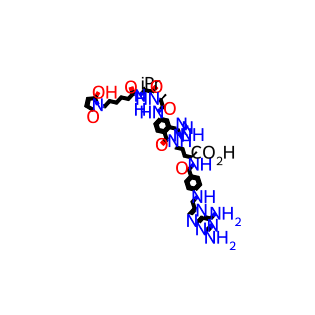 CC(C)[C@H](NC(=O)CCCCCN1C(=O)C=CC1O)C(=O)N[C@@H](C)C(=O)Nc1ccc(C(=O)NCCC[C@H](NC(=O)c2ccc(NCc3cnc4nc(N)nc(N)c4n3)cc2)C(=O)O)c(-c2nn[nH]n2)c1